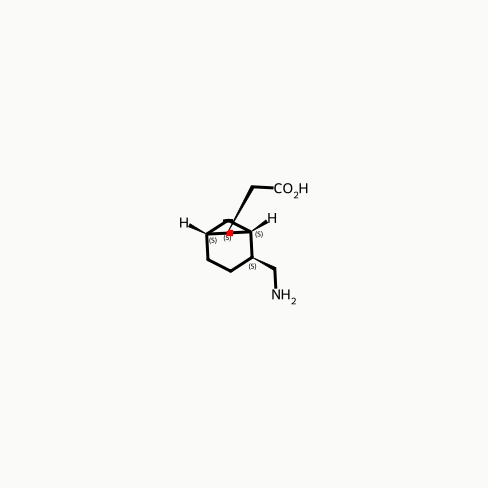 NC[C@H]1CC[C@H]2C[C@@H](CC(=O)O)[C@@H]1C21CC1